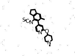 Cc1cc2c(c(N=C=S)c1-c1ccnc(OC3CCN(C)CC3)c1)CCC2